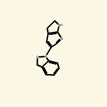 [c]1c(N2OCc3ccccc32)cnc2c1CCN2